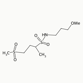 COCCCNS(=O)(=O)C(C)CCS(C)(=O)=O